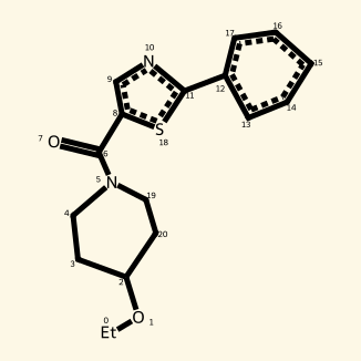 CCOC1CCN(C(=O)c2cnc(-c3ccccc3)s2)CC1